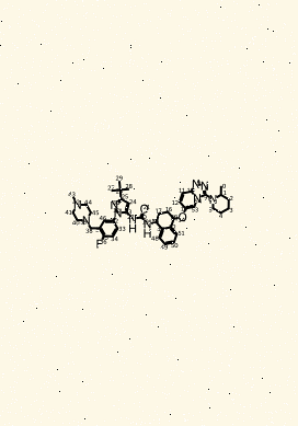 CC1CCCCN1c1nnc2ccc(O[C@@H]3CC[C@H](NC(=O)Nc4cc(C(C)(C)C)nn4-c4ccc(F)c(CN5CCN(C)CC5)c4)c4ccccc43)cn12